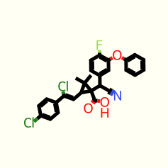 CC1(C)C(C=C(Cl)c2ccc(Cl)cc2)C1(C(=O)O)C(C#N)c1ccc(F)c(Oc2ccccc2)c1